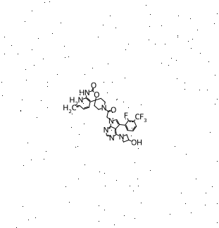 C=C/C=C\C1=C(N)NC(=O)OC12CCN(C(=O)Cn1cc(-c3cccc(C(F)(F)F)c3F)c3c(N4CC(O)C4)ncnc31)CC2